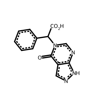 O=C(O)C(c1ccccc1)n1cnc2[nH]ncc2c1=O